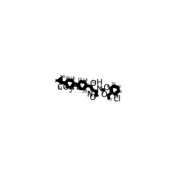 CC(OC(=O)Nc1conc1C(=O)c1ccc(-c2ccc(C3(C(=O)O)CC3)cc2)cc1)c1ccccc1Cl